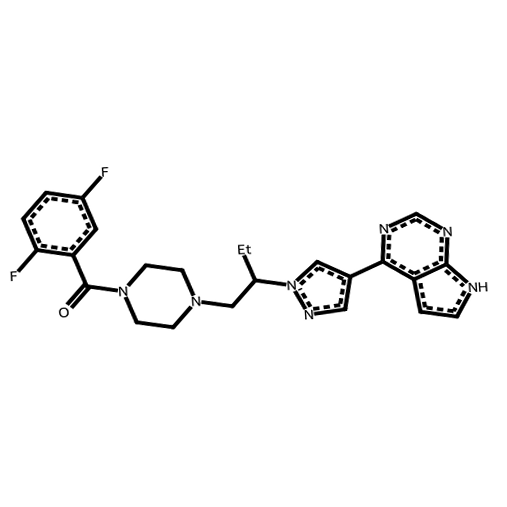 CCC(CN1CCN(C(=O)c2cc(F)ccc2F)CC1)n1cc(-c2ncnc3[nH]ccc23)cn1